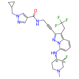 CN1CC[C@@H](Nc2cccc3c(CC(F)(F)F)c(C#CCNC(=O)c4cnn(CC5CC5)c4)nn23)[C@@H](F)C1